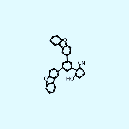 N#Cc1cccc(O)c1-c1cc(-c2ccc3oc4ccccc4c3c2)cc(-c2ccc3oc4ccccc4c3c2)c1